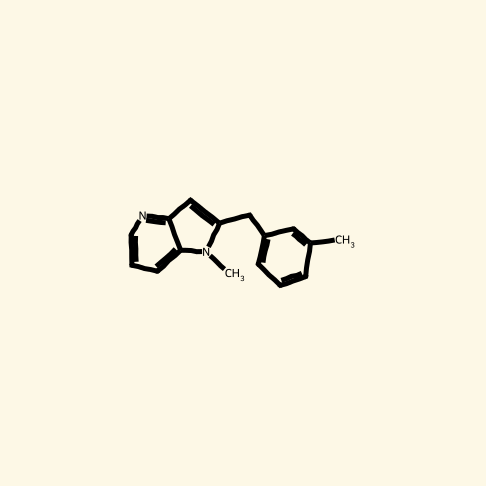 Cc1cccc(Cc2cc3ncccc3n2C)c1